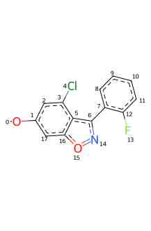 [O]c1cc(Cl)c2c(-c3ccccc3F)noc2c1